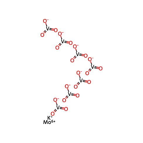 [K+].[Mo+6].[O]=[V](=[O])[O-].[O]=[V](=[O])[O-].[O]=[V](=[O])[O-].[O]=[V](=[O])[O-].[O]=[V](=[O])[O-].[O]=[V](=[O])[O-].[O]=[V](=[O])[O-]